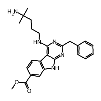 COC(=O)c1ccc2c(c1)[nH]c1nc(Cc3ccccc3)nc(NCCCC(C)(C)N)c12